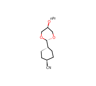 CCCO[C@H]1CO[C@H]([C@H]2CC[C@H](C#N)CC2)OC1